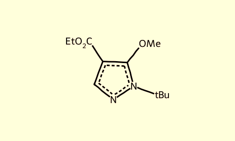 CCOC(=O)c1cnn(C(C)(C)C)c1OC